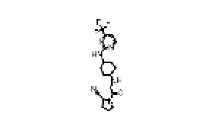 N#CC1CCCN1C(=O)CNC1CCC(Nc2nccc(C(F)(F)F)n2)CC1